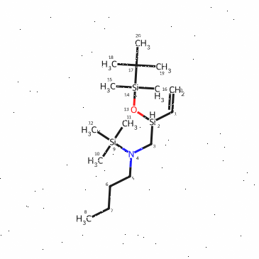 C=C[SiH](CN(CCCC)[Si](C)(C)C)O[Si](C)(C)C(C)(C)C